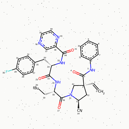 C=C[C@]1(C(=O)Nc2ccccc2)C[C@@H](C#N)N(C(=O)[C@H](CC(C)(C)C)NC(=O)[C@H](Cc2ccc(F)cc2)NC(=O)c2cnccn2)C1